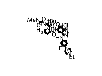 CCN1CCN(c2ccc(Nc3ncnc4cc(OC)c(NC(=O)[C@@H]5CCCN5C(=O)[C@@H](NC(=O)[C@H](C)NC)C(C)(C)C)cc34)cc2F)CC1.Cl.Cl